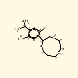 CC(C)c1cc(F)c(C2CCCCCCCCC2)cc1O